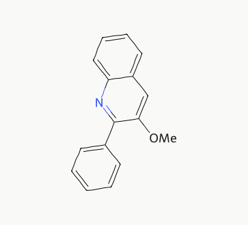 COc1cc2ccccc2nc1-c1ccccc1